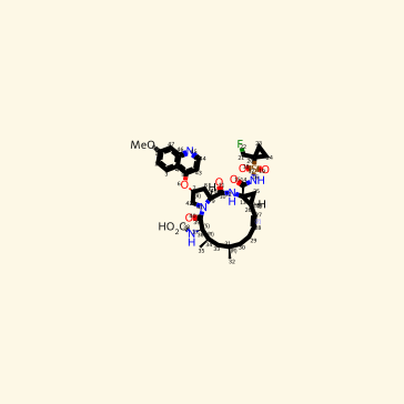 COc1ccc2c(O[C@@H]3C[C@H]4C(=O)N[C@]5(C(=O)NS(=O)(=O)C6(CF)CC6)C[C@H]5/C=C\CC[C@@H](C)C[C@@H](C)[C@H](NC(=O)O)C(=O)N4C3)ccnc2c1